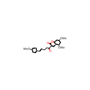 COc1ccc(C=CCCC(=O)c2cc3c(OC)cc(OC)cc3oc2=O)cc1